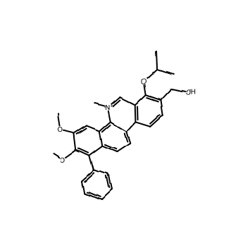 COc1cc2c(ccc3c4ccc(CO)c(OC(C)C)c4c[n+](C)c23)c(-c2ccccc2)c1OC